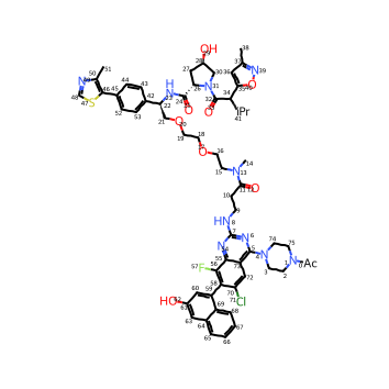 CC(=O)N1CCN(c2nc(NCCC(=O)N(C)CCOCCOC[C@H](NC(=O)[C@@H]3C[C@@H](O)CN3C(=O)C(c3cc(C)no3)C(C)C)c3ccc(-c4scnc4C)cc3)nc3c(F)c(-c4cc(O)cc5ccccc45)c(Cl)cc23)CC1